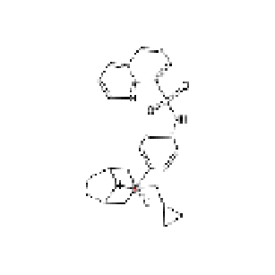 O=C(c1ccc(NS(=O)(=O)c2cccc3cccnc23)cc1)N1C2CCC1CN(CC1CC1)C2